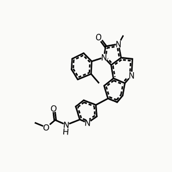 COC(=O)Nc1ccc(-c2ccc3ncc4c(c3c2)n(-c2ccccc2C)c(=O)n4C)cn1